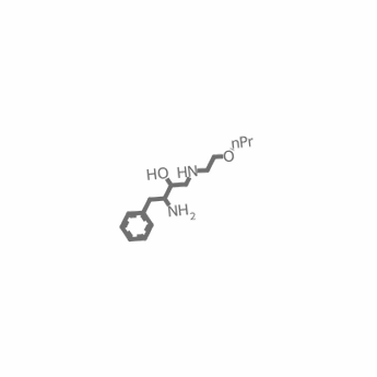 CCCOCCNCC(O)C(N)Cc1ccccc1